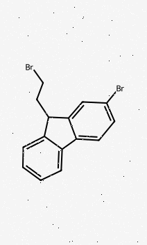 BrCCC1c2ccccc2-c2ccc(Br)cc21